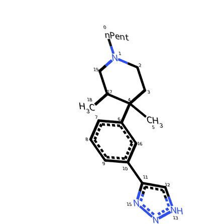 CCCCCN1CCC(C)(c2cccc(-c3c[nH]nn3)c2)C(C)C1